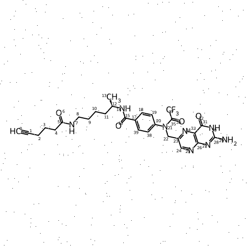 C#CCCCC(=O)NCCCC[C@@H](C)NC(=O)c1ccc(N(Cc2cnc3nc(N)[nH]c(=O)c3n2)C(=O)C(F)(F)F)cc1